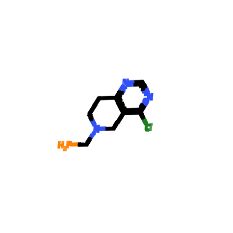 PCN1CCc2ncnc(Cl)c2C1